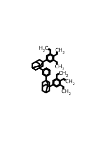 C=Cc1cc(C23CC4CC(CC(c5cccc(C67CC8CC(C6)CC(c6cc(C=C)c(C=C)c(C=C)c6)(C8)C7)c5)(C4)C2)C3)cc(C=C)c1C=C